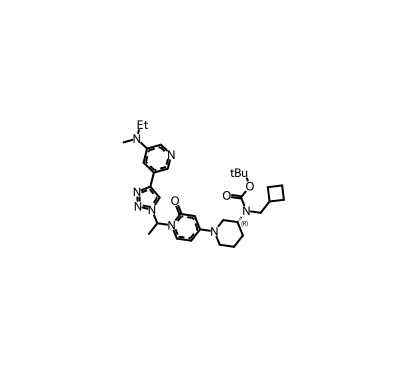 CCN(C)c1cncc(-c2cn(C(C)n3ccc(N4CCC[C@@H](N(CC5CCC5)C(=O)OC(C)(C)C)C4)cc3=O)nn2)c1